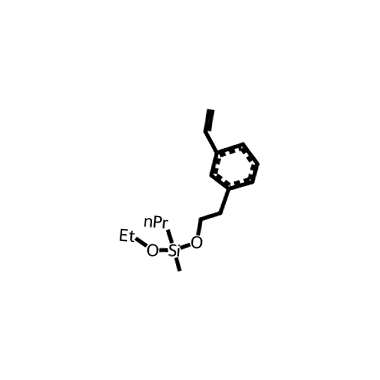 C=Cc1cccc(CCO[Si](C)(CCC)OCC)c1